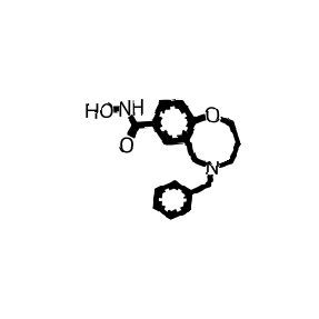 O=C(NO)c1ccc2c(c1)CN(Cc1ccccc1)CCCO2